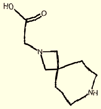 O=C(O)CN1CC2(CCNCC2)C1